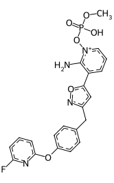 COP(=O)(O)O[n+]1cccc(-c2cc(Cc3ccc(Oc4cccc(F)n4)cc3)no2)c1N